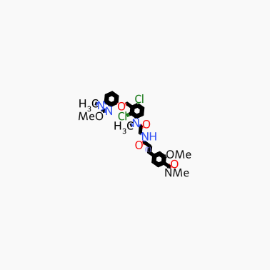 CNC(=O)c1ccc(/C=C/C(=O)NCC(=O)N(C)c2ccc(Cl)c(COc3cccc4c3nc(OC)n4C)c2Cl)cc1OC